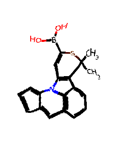 CC1(C)SC(B(O)O)=Cc2c1c1cccc3cc4cccc4n2c31